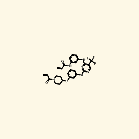 C=CC(=O)Nc1cccc(Nc2nc(Nc3cccc(OC4CCN(C(=O)C=C)CC4)c3)ncc2C(F)(F)F)c1